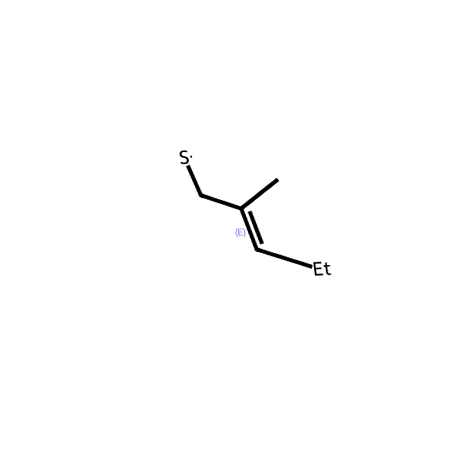 CC/C=C(\C)C[S]